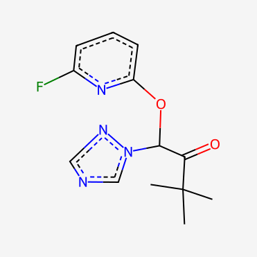 CC(C)(C)C(=O)C(Oc1cccc(F)n1)n1cncn1